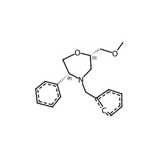 COC[C@@H]1CN(Cc2ccccc2)[C@H](c2ccccc2)CO1